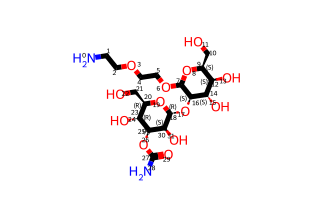 NCCOCCOC1O[C@@H](CO)[C@@H](O)[C@H](O)[C@@H]1O[C@H]1O[C@H](CO)[C@@H](O)[C@@H](OC(N)=O)[C@@H]1O